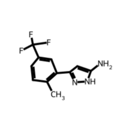 Cc1ccc(C(F)(F)F)cc1-c1cc(N)[nH]n1